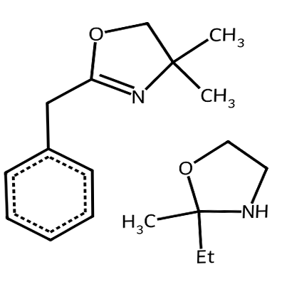 CC1(C)COC(Cc2ccccc2)=N1.CCC1(C)NCCO1